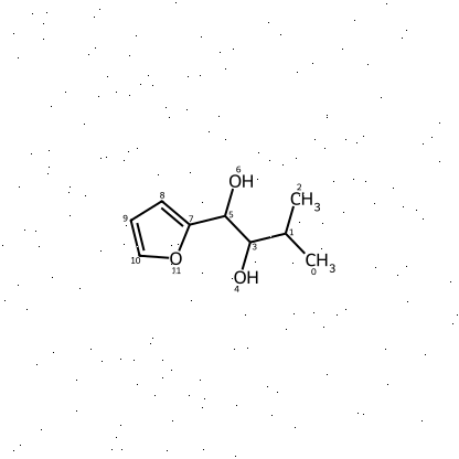 CC(C)C(O)C(O)c1ccco1